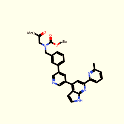 COC(=O)CN(Cc1cccc(-c2cncc(-c3cc(-c4cccc(C)n4)nc4[nH]ccc34)c2)c1)C(=O)OC(C)(C)C